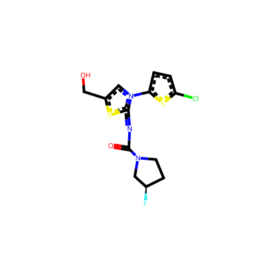 O=C(/N=c1\sc(CO)cn1-c1ccc(Cl)s1)N1CC[C@@H](F)C1